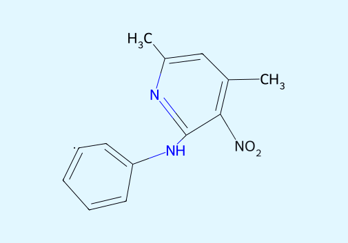 Cc1cc(C)c([N+](=O)[O-])c(Nc2c[c]ccc2)n1